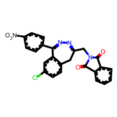 O=C1c2ccccc2C(=O)N1CC1=NN=C(c2ccc([N+](=O)[O-])cc2)c2cc(Cl)ccc2C1